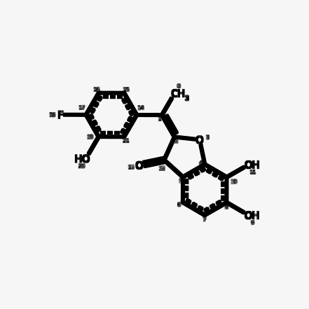 CC(=C1Oc2c(ccc(O)c2O)C1=O)c1ccc(F)c(O)c1